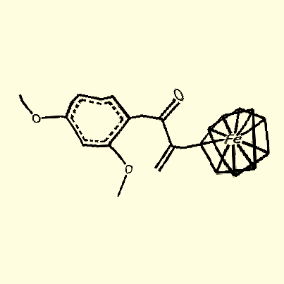 C=C(C(=O)c1ccc(OC)cc1OC)[C]12[CH]3[CH]4[CH]5[CH]1[Fe]45321678[CH]2[CH]1[CH]6[CH]7[CH]28